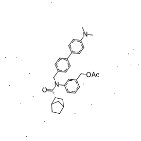 CC(=O)OCc1cccc(N(Cc2ccc(-c3ccc(N(C)C)cc3)cc2)C(=O)[C@@H]2CC3CCC2C3)c1